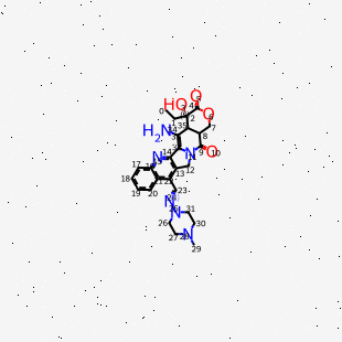 CC[C@@]1(O)C(=O)OCC2C(=O)N3Cc4c(nc5ccccc5c4/C=N/N4CCN(C)CC4)C3=C(N)C21